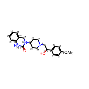 COc1ccc(C(O)CN2CCC(N3Cc4ccccc4NC3=O)CC2)cc1